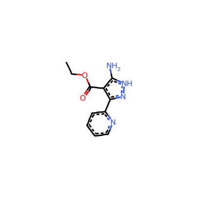 CCOC(=O)c1c(-c2ccccn2)n[nH]c1N